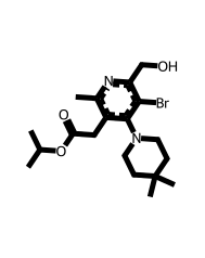 Cc1nc(CO)c(Br)c(N2CCC(C)(C)CC2)c1CC(=O)OC(C)C